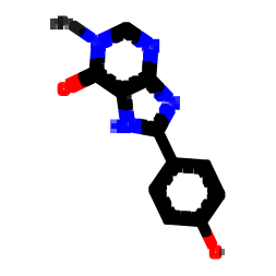 CCCn1cnc2nc(-c3ccc([O])cc3)[nH]c2c1=O